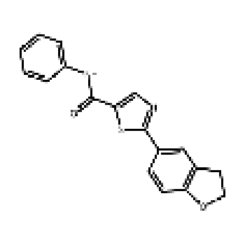 O=C(Nc1ccccc1)c1cnc(-c2ccc3c(c2)CCO3)s1